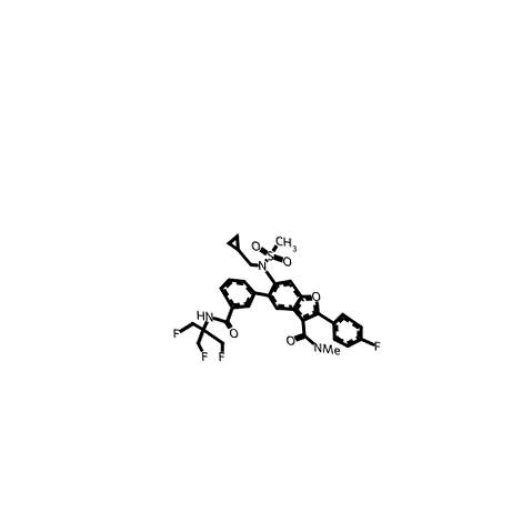 CNC(=O)c1c(-c2ccc(F)cc2)oc2cc(N(CC3CC3)S(C)(=O)=O)c(-c3cccc(C(=O)NC(CF)(CF)CF)c3)cc12